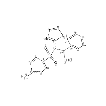 Cc1ccc(S(=O)(=O)C(c2ncc[nH]2)C(C=O)c2ccccc2)cc1